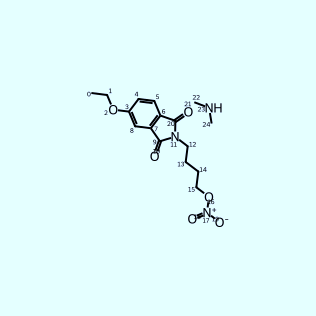 CCOc1ccc2c(c1)C(=O)N(CCCCO[N+](=O)[O-])C2=O.CNC